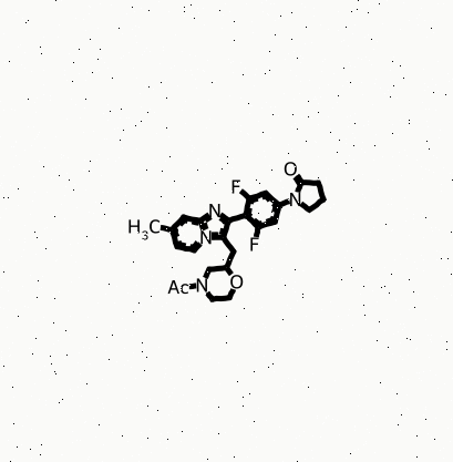 CC(=O)N1CCOC(Cc2c(-c3c(F)cc(N4CCCC4=O)cc3F)nc3cc(C)ccn23)C1